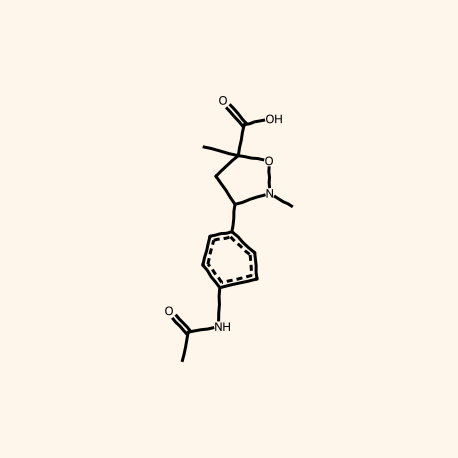 CC(=O)Nc1ccc(C2CC(C)(C(=O)O)ON2C)cc1